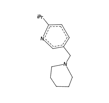 CC(C)c1ccc(CN2CCCCC2)cn1